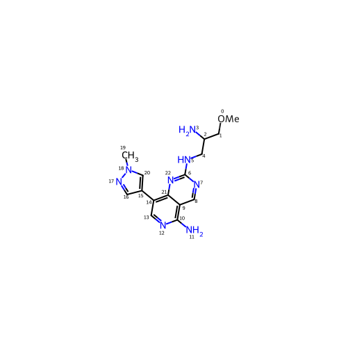 COCC(N)CNc1ncc2c(N)ncc(-c3cnn(C)c3)c2n1